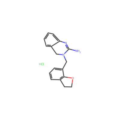 Cl.NC1=Nc2ccccc2CN1Cc1cccc2c1OCC2